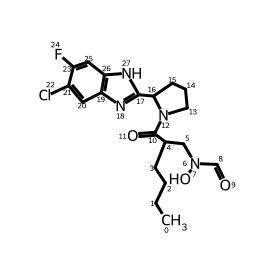 CCCCC(CN(O)C=O)C(=O)N1CCCC1c1nc2cc(Cl)c(F)cc2[nH]1